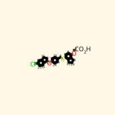 O=C(O)COc1ccc(SCc2ccc(OC3CCc4cc(Cl)ccc43)cc2)c2c1CCC2